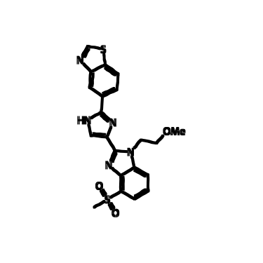 COCCn1c(-c2c[nH]c(-c3ccc4scnc4c3)n2)nc2c(S(C)(=O)=O)cccc21